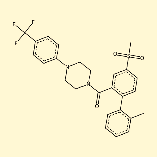 Cc1ccccc1-c1ccc(S(C)(=O)=O)cc1C(=O)N1CCN(c2ccc(C(F)(F)F)cc2)CC1